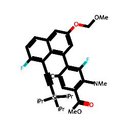 CNc1c(C(=O)OC)cc(C#N)c(-c2cc(OCOC)cc3ccc(F)c(C#C[Si](C(C)C)(C(C)C)C(C)C)c23)c1F